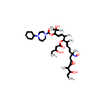 CCC(O)CC(=O)OC(/C(C)=C/C=C/C(C)(CC1OC1C(C)C(O)CC)N=O)C(C)/C=C/C(OC(=O)N1CCCN(C2CCCCC2)CC1)C(C)(C)O